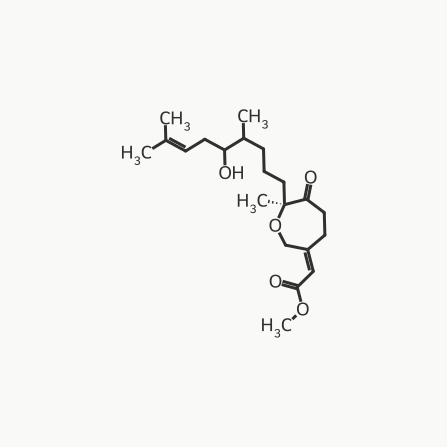 COC(=O)C=C1CCC(=O)[C@](C)(CCCC(C)C(O)CC=C(C)C)OC1